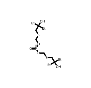 CCC(O)(CC)CSCO[PH](=O)OCSCC(O)(CC)CC